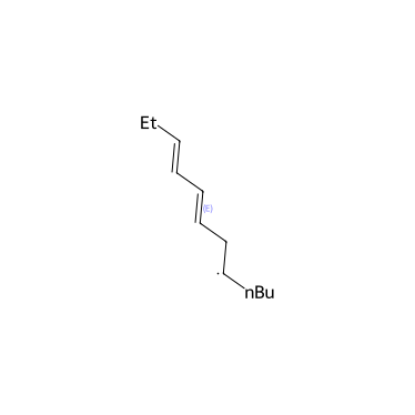 CCC=C/C=C/C[CH]CCCC